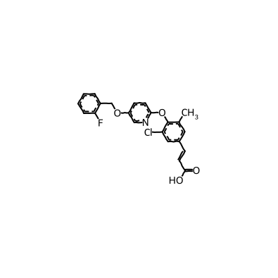 Cc1cc(C=CC(=O)O)cc(Cl)c1Oc1ccc(OCc2ccccc2F)cn1